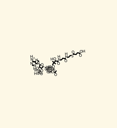 CC(=O)O.CC(C)(COP(=O)(O)OP(=O)(O)OC[C@H]1O[C@@H](n2cnc3c(N)ncnc32)[C@H](O)[C@@H]1OP(=O)(O)O)[C@@H](O)C(=O)NCCC(=O)NCCSC(=O)CCC(=O)O